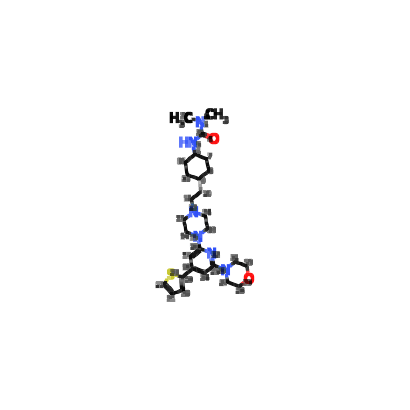 CN(C)C(=O)N[C@H]1CC[C@H](CCN2CCN(c3cc(-c4cccs4)cc(N4CCOCC4)n3)CC2)CC1